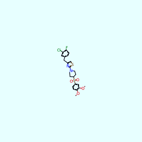 COc1ccc(S(=O)(=O)C2CCN(c3nc(Cc4ccc(F)c(Cl)c4)cs3)CC2)cc1OC